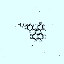 CC1=CC=C(N(c2ccccc2)c2cccc3ccccc23)CC1